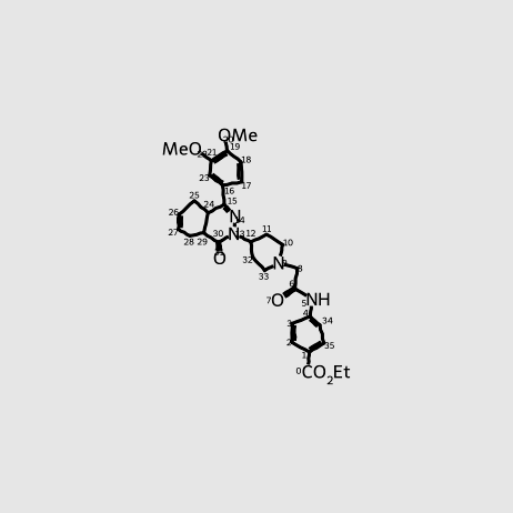 CCOC(=O)c1ccc(NC(=O)CN2CCC(N3N=C(c4ccc(OC)c(OC)c4)C4CC=CCC4C3=O)CC2)cc1